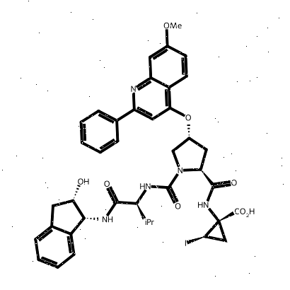 COc1ccc2c(O[C@@H]3C[C@@H](C(=O)N[C@]4(C(=O)O)C[C@H]4I)N(C(=O)N[C@H](C(=O)N[C@@H]4c5ccccc5C[C@@H]4O)C(C)C)C3)cc(-c3ccccc3)nc2c1